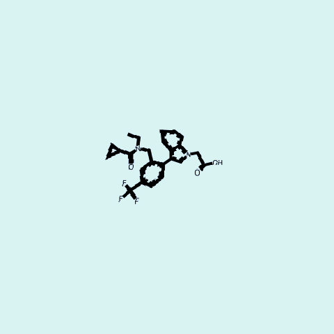 CCN(Cc1cc(C(F)(F)F)ccc1-c1cn(CC(=O)O)c2ccccc12)C(=O)C1CC1